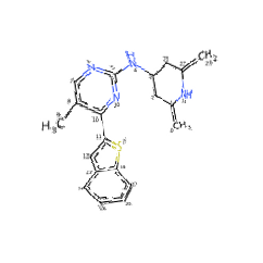 C=C1CC(Nc2ncc(C)c(-c3cc4ccccc4s3)n2)CC(=C)N1